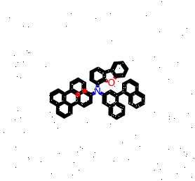 c1ccc(-c2cccc3cccc(-c4ccc(N(c5cc(-c6cccc7ccccc67)c6ccccc6c5)c5cccc6c5oc5ccccc56)cc4)c23)cc1